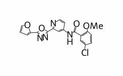 COc1ccc(Cl)cc1C(=O)Nc1ccnc(-c2nnc(-c3ccco3)o2)c1